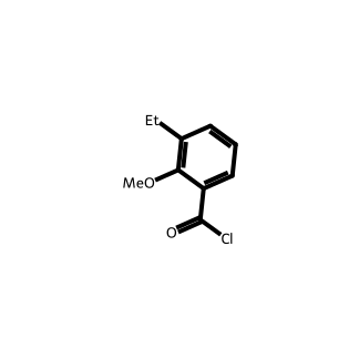 CCc1cccc(C(=O)Cl)c1OC